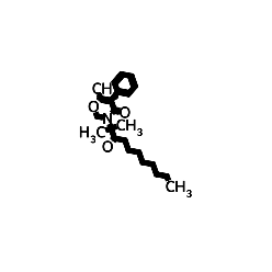 CCCCCCCCC(=O)C(C)(C)N1COC(C)=C(c2ccccc2)C1=O